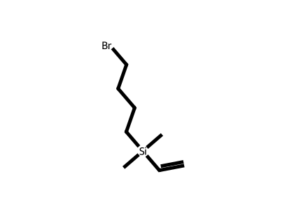 C=C[Si](C)(C)CCCCBr